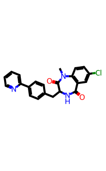 CN1C(=O)C(Cc2ccc(-c3ccccn3)cc2)NC(=O)c2cc(Cl)ccc21